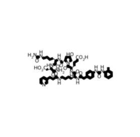 Cc1ccccc1NC(=O)Nc1ccc(CC(=O)N[C@@H](CCCCNC(=O)CCc2cccnc2)C(=O)N[C@@H](CCCC(=O)O)C(=O)N2C[C@H](O)C[C@H]2C(=O)N[C@@H](CCCCNC(N)=O)C(=O)N[C@@H](CC(=O)O)C(N)=O)cc1